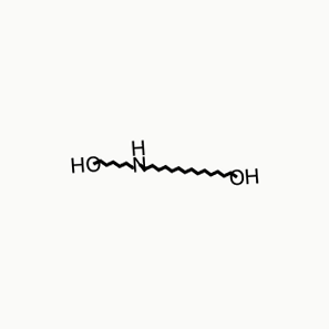 OCCCCCCCCCCCCCCNCCCCCCO